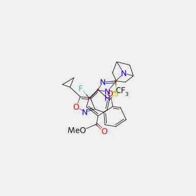 COC(=O)c1cc(F)c2nc(N3C4CC(NCc5c(-c6ccccc6OC(F)(F)F)noc5C5CC5)CC3C4)sc2c1